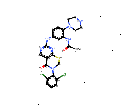 CNC(=O)Nc1cc(Nc2ncc3c(n2)SCN(c2c(Cl)cccc2Cl)C3=O)ccc1N1CCNCC1